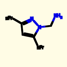 CCCc1cc(CCC)n(CN)n1